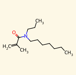 C=C(C)C(=O)N(CCC)CCCCCCC